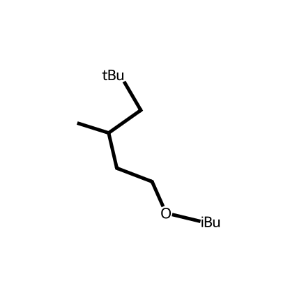 CCC(C)OCCC(C)CC(C)(C)C